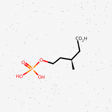 C[C@@H](CCOP(=O)(O)O)CC(=O)O